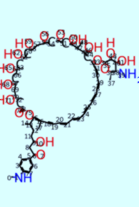 CNc1ccc(C(=O)CC(O)CCC(C)/C2=C(C)/C=C/C=C/C=C/C=C/C=C/C=C/C=C/C(OC3O[C@H](C)[C@@H](N)[C@H](O)[C@@H]3O)CC(O)C(C)C(O)CC(=O)CC(=O)CC(O)CC(O)CC(O)CC(O)CC(O)CC(=O)O2)cc1